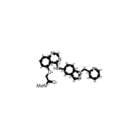 CNC(=O)COc1cccc2ncnc(Nc3ccc4c(cnn4Cc4ccccn4)c3)c12